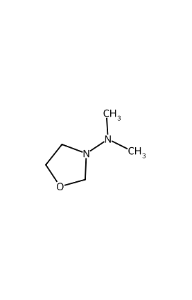 CN(C)N1CCOC1